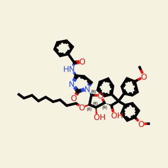 CCCCCCCCCO[C@@H]1[C@H](O)[C@@H](C(O)C(c2ccccc2)(c2ccc(OC)cc2)c2ccc(OC)cc2)O[C@H]1n1ccc(NC(=O)c2ccccc2)nc1=O